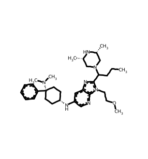 CCCC(c1nc2cc(N[C@H]3CC[C@@](c4ccccc4)(N(C)C)CC3)cnc2n1CCOC)N1C[C@@H](C)N[C@@H](C)C1